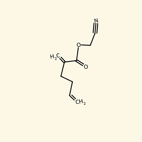 C=CCCC(=C)C(=O)OCC#N